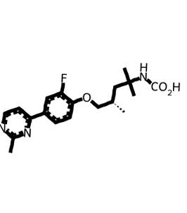 Cc1nccc(-c2ccc(OC[C@@H](C)CC(C)(C)NC(=O)O)c(F)c2)n1